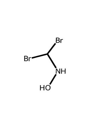 ONC(Br)Br